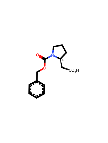 O=C(O)C[C@@H]1CCCN1C(=O)OCc1ccccc1